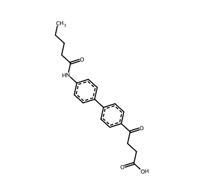 CCCCC(=O)Nc1ccc(-c2ccc(C(=O)CCC(=O)O)cc2)cc1